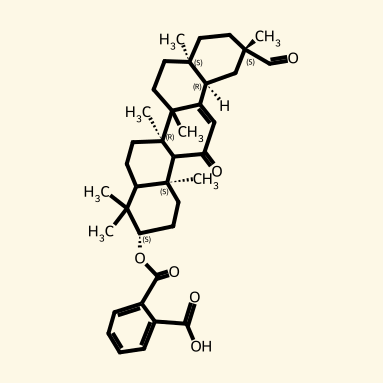 CC1(C)C2CC[C@]3(C)C(C(=O)C=C4[C@@H]5C[C@@](C)(C=O)CC[C@]5(C)CCC43C)[C@@]2(C)CC[C@@H]1OC(=O)c1ccccc1C(=O)O